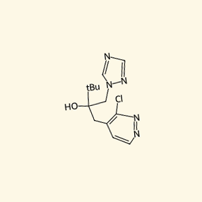 CC(C)(C)C(O)(Cc1ccnnc1Cl)Cn1cncn1